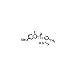 COc1ccc2[nH]c(C(=O)Nc3scc(C)c3C(N)=O)cc2c1